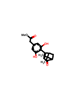 COC(=O)Cc1cc(O)c(C2=CC(=O)C3CC2C3(C)C)c(O)c1